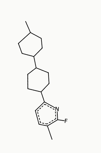 Cc1ccc(C2CCC(C3CCC(C)CC3)CC2)nc1F